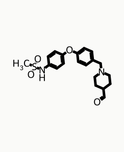 CS(=O)(=O)Nc1ccc(Oc2ccc(CN3CCC(C=O)CC3)cc2)cc1